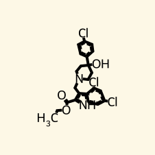 CCOC(=O)c1[nH]c2cc(Cl)cc(Cl)c2c1CN1CCC(O)(c2ccc(Cl)cc2)CC1